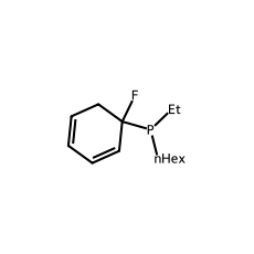 CCCCCCP(CC)C1(F)C=CC=CC1